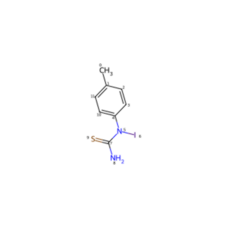 Cc1ccc(N(I)C(N)=S)cc1